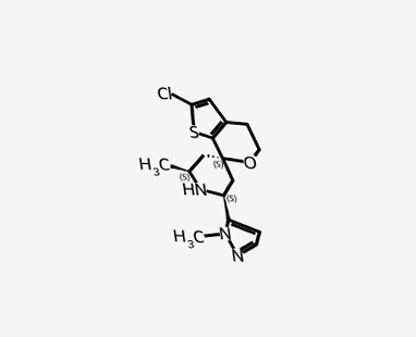 C[C@H]1C[C@@]2(C[C@@H](c3ccnn3C)N1)OCCc1cc(Cl)sc12